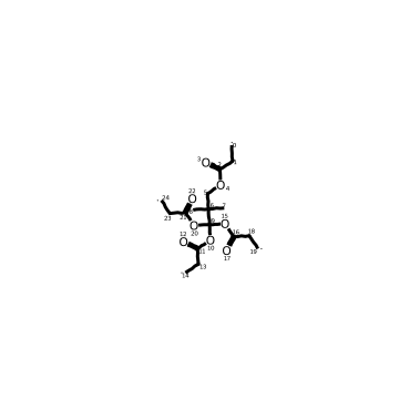 [CH2]CC(=O)OCC(C)(C)C(OC(=O)C[CH2])(OC(=O)C[CH2])OC(=O)C[CH2]